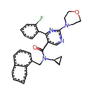 O=C(c1cnc(N2CCOCC2)nc1-c1ccccc1F)N(Cc1cccc2ccccc12)C1CC1